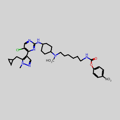 Cn1ncc(-c2nc(NC3CCC(N(CCCCCCNC(=O)Oc4ccc([N+](=O)[O-])cc4)C(=O)O)CC3)ncc2Cl)c1CC1CC1